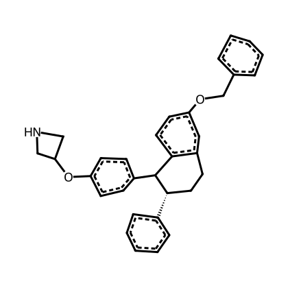 c1ccc(COc2ccc3c(c2)CC[C@H](c2ccccc2)C3c2ccc(OC3CNC3)cc2)cc1